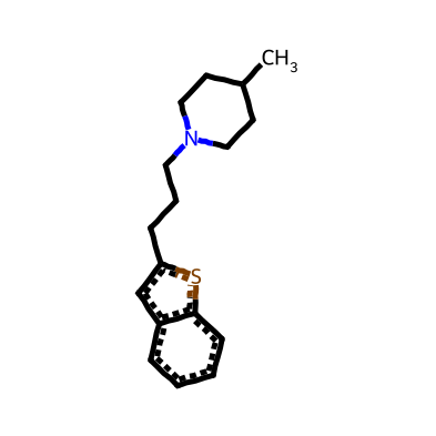 CC1CCN(CCCc2cc3ccccc3s2)CC1